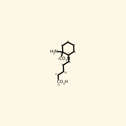 NC1(C(=O)O)CCCCC1CCCCC(=O)O